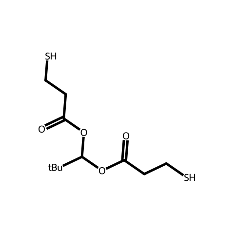 CC(C)(C)C(OC(=O)CCS)OC(=O)CCS